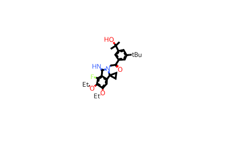 CCOc1cc2c(c(F)c1OCC)C(=N)N(CC(=O)c1cc(C(C)(C)C)cc(C(C)(C)O)c1)C21CC1